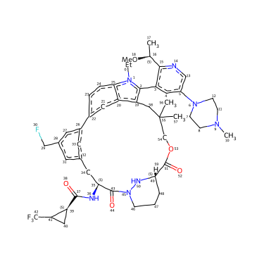 CCn1c(-c2cc(N3CCN(C)CC3)cnc2[C@H](C)OC)c2c3cc(ccc31)-c1cc(CF)cc(c1)C[C@H](NC(=O)[C@H]1CC1C(F)(F)F)C(=O)N1CCC[C@H](N1)C(=O)OCC(C)(C)C2